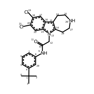 CC(C)(C)c1cccc(NC(=O)Cn2c3c(c4cc(Cl)c(Cl)cc42)CCNCC3)c1